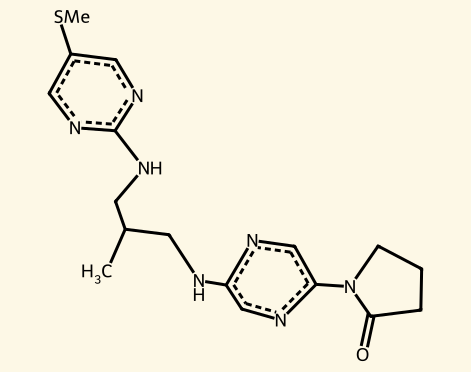 CSc1cnc(NCC(C)CNc2cnc(N3CCCC3=O)cn2)nc1